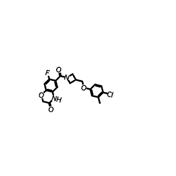 Cc1cc(OCC2CN(C(=O)c3cc4c(cc3F)OCC(=O)N4)C2)ccc1Cl